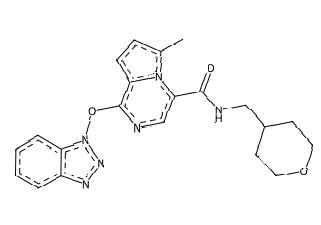 Cc1ccc2c(On3nnc4ccccc43)ncc(C(=O)NCC3CCOCC3)n12